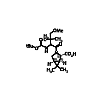 COCC(C)(C)C(NC(=O)OC(C)(C)C)C(=O)N1C[C@H]2[C@@H]([C@H]1C(=O)O)C2(C)C